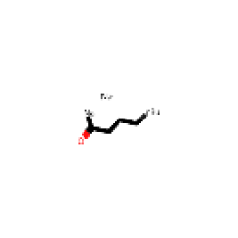 CCCCCCC[C](=O)[Na].[Na]